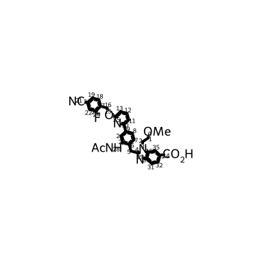 COCCn1c(Cc2ccc(-c3cccc(OCc4ccc(C#N)cc4F)n3)cc2NC(C)=O)nc2ccc(C(=O)O)cc21